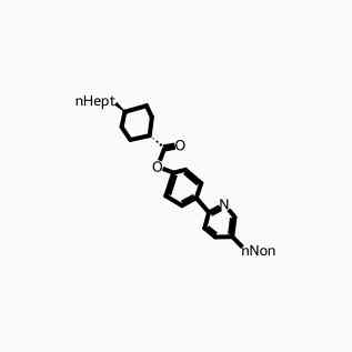 CCCCCCCCCc1ccc(-c2ccc(OC(=O)[C@H]3CC[C@H](CCCCCCC)CC3)cc2)nc1